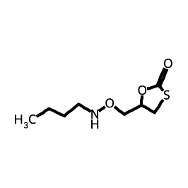 CCCCNOCC1CSC(=O)O1